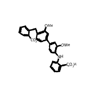 COc1cc(-c2ccc(Nc3ccccc3C(=O)O)c(OC)c2)ccc1Cc1ccccc1C(=O)O